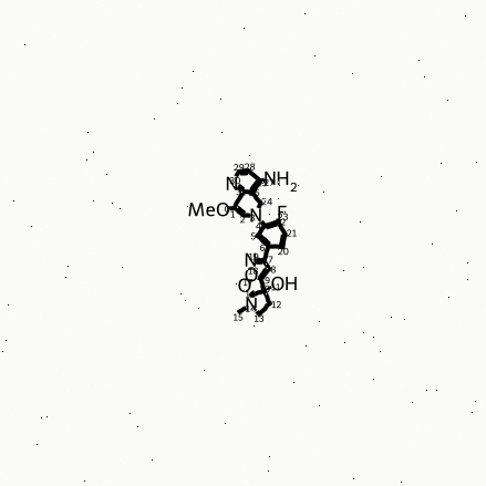 COC1=CN(c2cc(-c3cc([C@]4(O)CCN(C)C4=O)on3)ccc2F)Cc2c(N)ccnc21